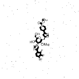 CO[C@@H]1[C@@H](n2cc(-c3ccc(Br)c(F)c3F)nn2)[C@@H](O)[C@@H](CO)O[C@@H]1C[C@H]1CC(C2CCN(C(=O)OC(C)(C)C)CC2)=NO1